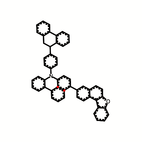 c1ccc(-c2ccccc2N(c2ccc(-c3ccc4c(ccc5oc6ccccc6c54)c3)cc2)c2ccc(C3Cc4ccccc4-c4ccccc43)cc2)cc1